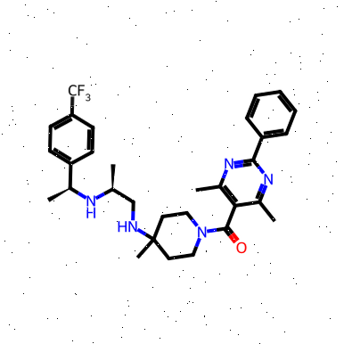 Cc1nc(-c2ccccc2)nc(C)c1C(=O)N1CCC(C)(NC[C@H](C)N[C@@H](C)c2ccc(C(F)(F)F)cc2)CC1